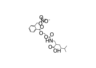 CC(C)CCC(CNC(=O)OCOC(=O)c1ccccc1CO[N+](=O)[O-])C(=O)O